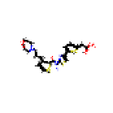 O=C(O)Cc1ccc(-c2csc(NC(=O)c3sccc3CCCN3CCOCC3)n2)s1